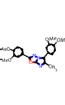 COc1ccc(-c2nn3c(-c4ccc(OC)c(OC)c4)c(C)nc3o2)cc1OC